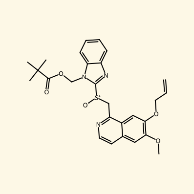 C=CCOc1cc2c(C[S+]([O-])c3nc4ccccc4n3COC(=O)C(C)(C)C)nccc2cc1OC